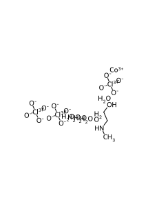 CNCCO.O.O.O.O.O.O.[Co+3].[O-][Cl+3]([O-])([O-])[O-].[O-][Cl+3]([O-])([O-])[O-].[O-][Cl+3]([O-])([O-])[O-]